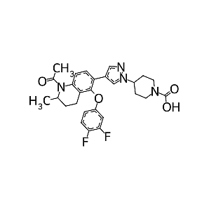 CC(=O)N1c2ccc(-c3cnn(C4CCN(C(=O)O)CC4)c3)c(Oc3ccc(F)c(F)c3)c2CCC1C